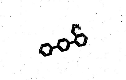 C=Cc1ccccc1-c1ccc(-c2ccncc2)cc1